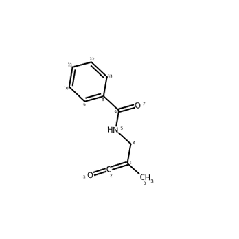 CC(=C=O)CNC(=O)c1ccccc1